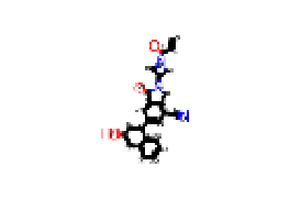 C=CC(=O)N1CC(N2Cc3c(C#N)cc(-c4cc(O)cc5ccccc45)cc3C2=O)C1